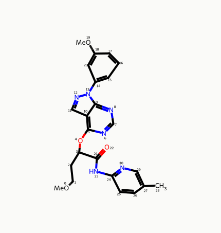 COCCC(Oc1ncnc2c1cnn2-c1cccc(OC)c1)C(=O)Nc1ccc(C)cn1